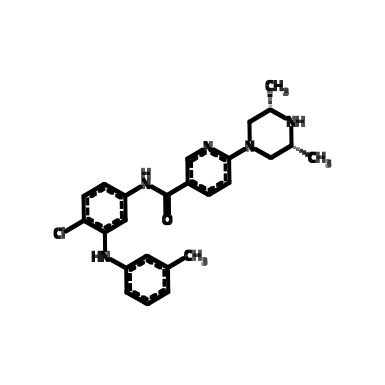 Cc1cccc(Nc2cc(NC(=O)c3ccc(N4C[C@@H](C)N[C@@H](C)C4)nc3)ccc2Cl)c1